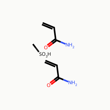 C=CC(N)=O.C=CC(N)=O.CS(=O)(=O)O